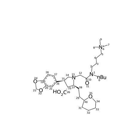 CCCCN(CCCC[N+](C)(C)C)C(=O)CN1C[C@H](c2ccc3c(c2)OCO3)[C@@H](C(=O)O)[C@@H]1CCC1CCCCO1